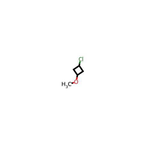 COC1CC(Cl)C1